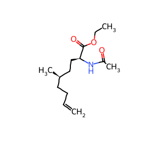 C=CCC[C@@H](C)CC[C@H](NC(C)=O)C(=O)OCC